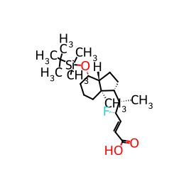 C[C@@H]([C@H]1CC[C@H]2[C@@H](O[Si](C)(C)C(C)(C)C)CCC[C@]12C)[C@@H](F)/C=C/C(=O)O